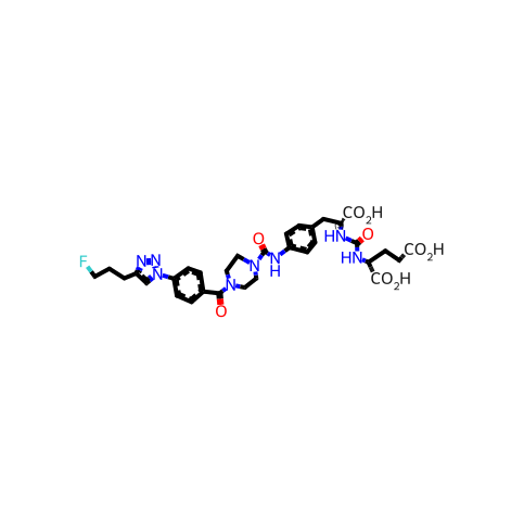 O=C(O)CCC(NC(=O)N[C@@H](Cc1ccc(NC(=O)N2CCN(C(=O)c3ccc(-n4cc(CCCF)nn4)cc3)CC2)cc1)C(=O)O)C(=O)O